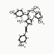 Cc1c(C#Cc2ccc(N)cc2)sc2c1C(c1ccc(Cl)cc1)=N[C@@H](C)c1nnc(C)n1-2